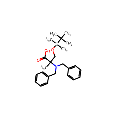 CC(CO[Si](C)(C)C(C)(C)C)(C(=O)O)N(Cc1ccccc1)Cc1ccccc1